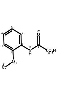 CCOc1ccccc1NC(=O)C(=O)O